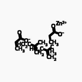 C=C(C)C(=O)O.C=C(C)C(=O)O.CCC(=O)[O-].CCC(=O)[O-].[Zn+2]